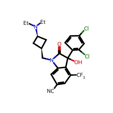 CCN(CC)[C@H]1C[C@@H](CN2C(=O)C(O)(c3ccc(Cl)cc3Cl)c3c2cc(C#N)cc3C(F)(F)F)C1